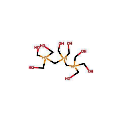 OC[PH](CO)(CO)C[PH](CO)(CO)C[PH](CO)(CO)CO